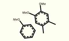 COc1cc(C)c(C)cc1OC.COc1ccccc1